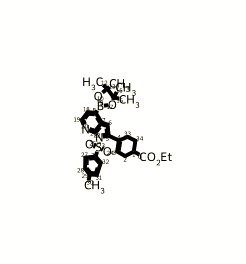 CCOC(=O)C1CC=C(c2cc3c(B4OC(C)(C)C(C)(C)O4)ccnc3n2S(=O)(=O)c2ccc(C)cc2)CC1